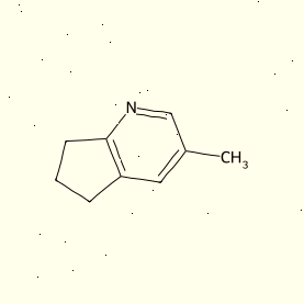 Cc1cnc2c(c1)CCC2